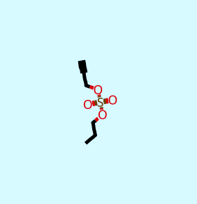 C#CCOS(=O)(=O)OCCC